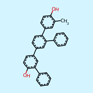 Cc1cc(-c2ccc(-c3ccc(O)c(-c4ccccc4)c3)cc2-c2ccccc2)ccc1O